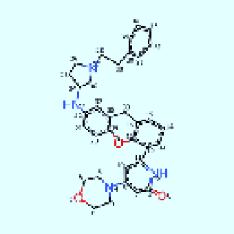 O=c1cc(N2CCOCC2)cc(-c2cccc3c2Oc2ccc(NC4CCN(CCc5ccccc5)C4)cc2C3)[nH]1